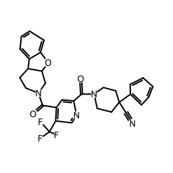 N#CC1(c2ccccc2)CCN(C(=O)c2cc(C(=O)N3CCC4c5ccccc5OC4C3)c(C(F)(F)F)cn2)CC1